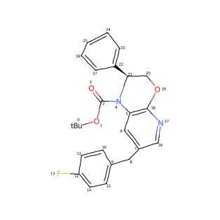 CC(C)(C)OC(=O)N1c2cc(Cc3ccc(F)cc3)cnc2OC[C@@H]1c1ccccc1